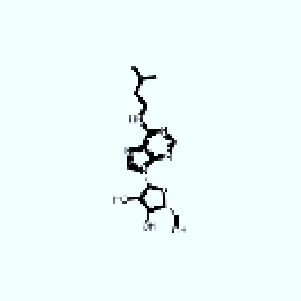 CC(C)CCNc1ncnc2c1ncn2[C@@H]1O[C@H](CO)[C@@H](O)[C@H]1O